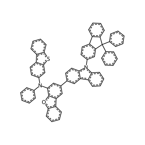 c1ccc(N(c2ccc3c(c2)sc2ccccc23)c2cc(-c3ccc4c(c3)c3ccccc3n4-c3ccc4c(c3)C(c3ccccc3)(c3ccccc3)c3ccccc3-4)cc3c2oc2ccccc23)cc1